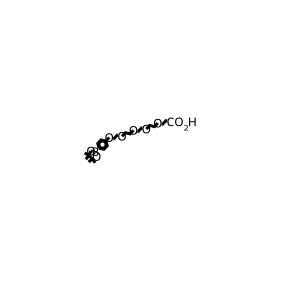 CC1(C)OB(c2ccc(OCCOCCOCCOCCOCCC(=O)O)cc2)OC1(C)C